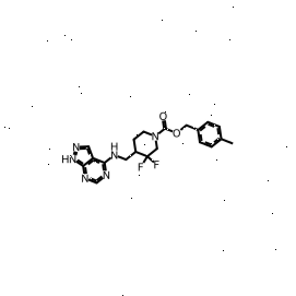 Cc1ccc(COC(=O)N2CCC(CNc3ncnc4[nH]ncc34)C(F)(F)C2)cc1